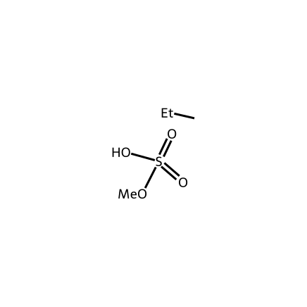 CCC.COS(=O)(=O)O